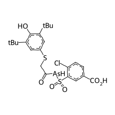 CC(C)(C)c1cc(SCC(=O)[AsH]S(=O)(=O)c2cc(C(=O)O)ccc2Cl)cc(C(C)(C)C)c1O